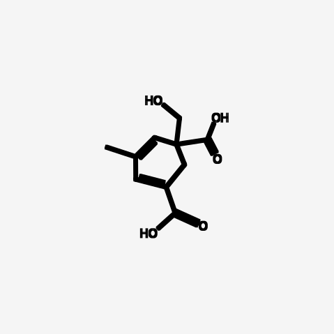 CC1=CC(CO)(C(=O)O)CC(C(=O)O)=C1